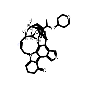 CO[C@H]1[C@@]2(C)/C=C\Cn3c4c(c5c6c(c7c(c53)[N@@+]1(N(C)C(=O)C(C)OC1CCOCC1)C1=C7C=C[C@@H](C1)O2)C=NC=6)C(=O)CCC=4